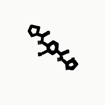 O=C(Nc1nccs1)c1ccc(NC(=O)C2CCCC2)c(Br)c1